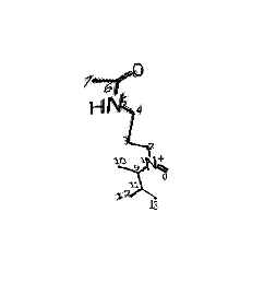 C=[N+](CCCNC(C)=O)C(C)C(C)C